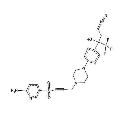 [N-]=[N+]=NCC(O)(c1ccc(N2CCN(CC#CS(=O)(=O)c3ccc(N)nc3)CC2)cc1)C(F)(F)F